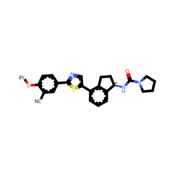 CC(C)Oc1ccc(-c2ncc(-c3cccc4c3CC[C@H]4NC(=O)N3CCCC3)s2)cc1C#N